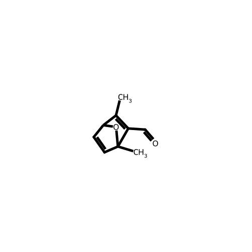 CC1=C(C=O)C2(C)C=CC1O2